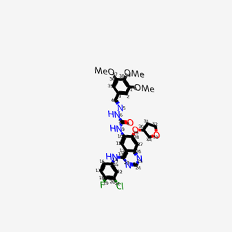 COc1cc(/C=N/NC(=O)Nc2cc3c(Nc4ccc(F)c(Cl)c4)ncnc3cc2OC2CCOC2)cc(OC)c1OC